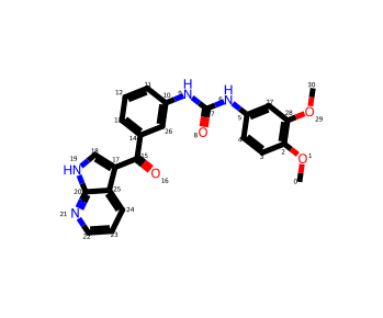 COc1ccc(NC(=O)Nc2cccc(C(=O)c3c[nH]c4ncccc34)c2)cc1OC